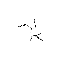 C=CC(=C)C.CCC(C)C=O